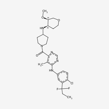 CCC(F)(F)c1cc(Nc2ncnc(C(=O)N3CCC(N[C@@H]4CCOC[C@@H]4OC)CC3)c2C)ccc1Cl